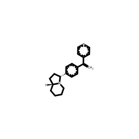 C=C(c1ccncc1)c1ccc([C@H]2CC[C@H]3CCCCN32)cc1